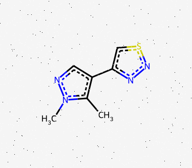 Cc1c(-c2csnn2)cnn1C